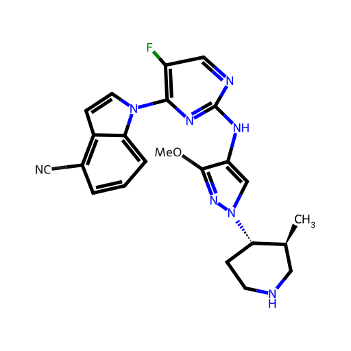 COc1nn([C@H]2CCNC[C@@H]2C)cc1Nc1ncc(F)c(-n2ccc3c(C#N)cccc32)n1